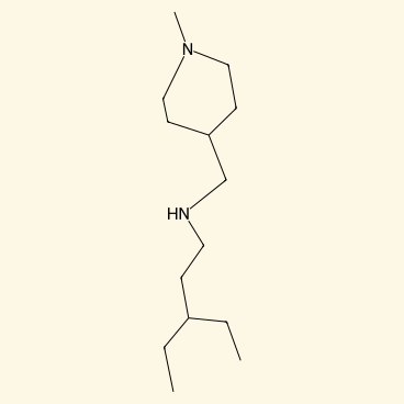 CCC(CC)CCNCC1CCN(C)CC1